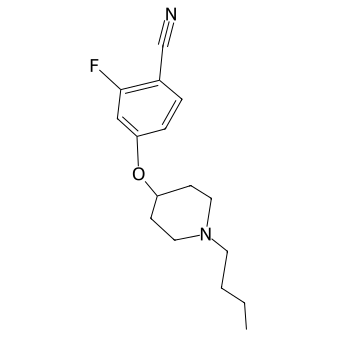 CCCCN1CCC(Oc2ccc(C#N)c(F)c2)CC1